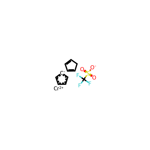 C1=CCC=C1.O=S(=O)([O-])C(F)(F)F.[Cr+2].c1cc[cH-]c1